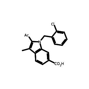 CC(=O)c1c(C)c2ccc(C(=O)O)cc2n1Cc1ccccc1Cl